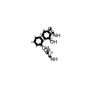 C.N=C=O.N=C=O.Oc1ccccc1.Oc1ccccc1